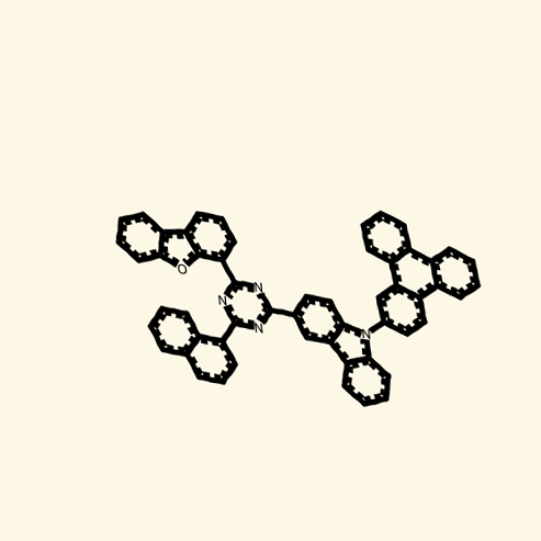 c1ccc2c(-c3nc(-c4ccc5c(c4)c4ccccc4n5-c4ccc5c6ccccc6c6ccccc6c5c4)nc(-c4cccc5c4oc4ccccc45)n3)cccc2c1